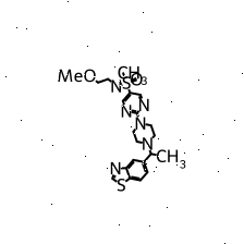 COCCN=S(C)(=O)c1cnc(N2CCN(C(C)c3ccc4scnc4c3)CC2)nc1